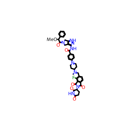 COC(C(=O)N1Cc2[nH]nc(NC(=O)c3ccc(N4CCC(N(C)Cc5ccc6c(c5F)C(=O)N(C5CCC(=O)NC5=O)C6=O)CC4)cc3)c2C1)c1ccccc1